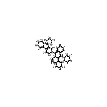 c1ccc(-c2c3ccccc3c(-c3ccc4c(c3)C3(CCCC3)c3ccccc3-4)c3cnc4ccccc4c23)cc1